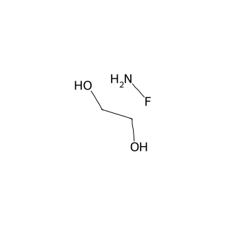 NF.OCCO